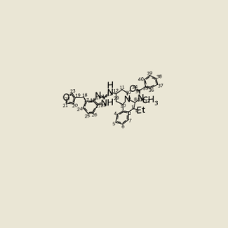 CCC(c1ccccc1)C(N1CCC(Nc2nc3c(Cc4ccoc4)cccc3[nH]2)CC1)N(C)C(=O)c1ccccc1